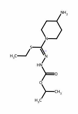 CCS/C(=N\NC(=O)OC(C)C)N1CCC(N)CC1